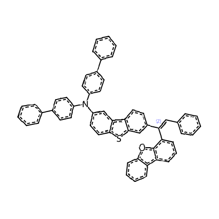 C(=C(\c1ccc2c(c1)sc1ccc(N(c3ccc(-c4ccccc4)cc3)c3ccc(-c4ccccc4)cc3)cc12)c1cccc2c1oc1ccccc12)/c1ccccc1